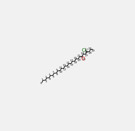 CCCCCCCCCCCCCCCCCCCCCCC(=O)CCC(Cl)CCC